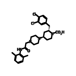 Cc1cccc(C)c1NC(=O)CN1CCN([C@@H]2CCN(C(=O)O)[C@@H](Cc3ccc(Cl)c(Cl)c3)C2)CC1